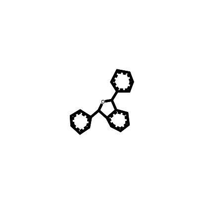 c1ccc(C2OC(c3ccccc3)c3ccccc32)cc1